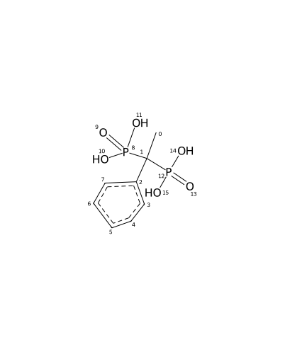 CC(c1ccccc1)(P(=O)(O)O)P(=O)(O)O